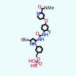 CNC(=O)c1cc(Oc2ccc(NC(=O)Nc3cc(C(C)(C)C)nn3-c3cccc(COP(=O)(O)O)c3)c(F)c2)ccn1